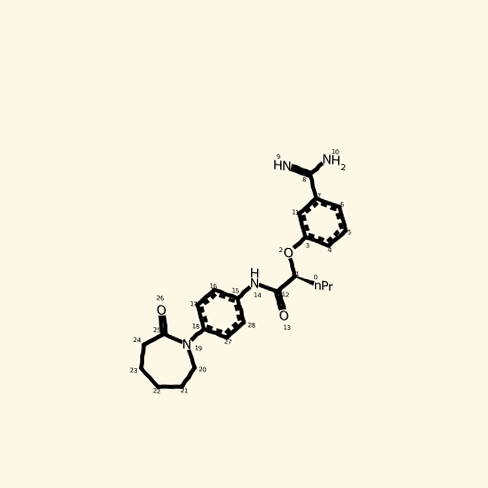 CCC[C@H](Oc1cccc(C(=N)N)c1)C(=O)Nc1ccc(N2CCCCCC2=O)cc1